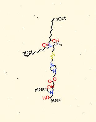 CCCCCCCC/C=C\CCCCCCC(O)CN(CC(O)CCCCCC/C=C\CCCCCCCC)C(C)CCSSCCN1CCN(CCOC(=O)CCCN(CC(O)CCCCCCCCCC)CC(O)CCCCCCCCCC)CC1